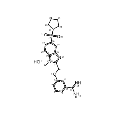 Cl.Cn1c(COc2cccc(C(=N)N)c2)nc2cc(S(=O)(=O)N3CCCC3)ccc21